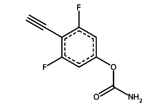 C#Cc1c(F)cc(OC(N)=O)cc1F